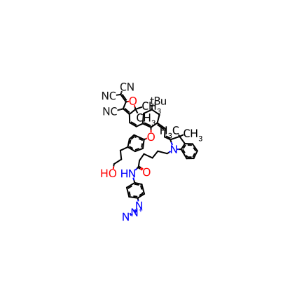 CC1(C)OC(=C(C#N)C#N)C(C#N)=C1C=CC1=C(Oc2ccc(CCCO)cc2)C(=CC=C2N(CCCCCC(=O)Nc3ccc(N=[N+]=[N-])cc3)c3ccccc3C2(C)C)CC(C(C)(C)C)C1